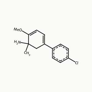 COC1=CC=C(c2ccc(Cl)cc2)CC1(C)N